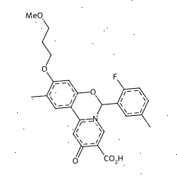 COCCCOc1cc2c(cc1C)-c1cc(=O)c(C(=O)O)cn1C(c1cc(C)ccc1F)O2